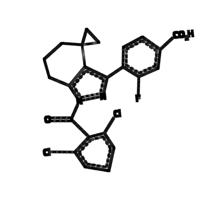 O=C(O)c1ccc(-c2nn(C(=O)c3c(Cl)cccc3Cl)c3c2C2(CCC3)CC2)c(F)c1